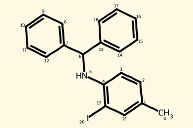 Cc1ccc(NC(c2ccccc2)c2ccccc2)c(I)c1